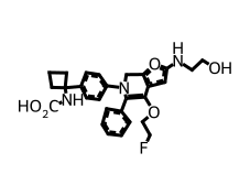 O=C(O)NC1(c2ccc(N3Cc4oc(NCCO)cc4C(OCCF)=C3c3ccccc3)cc2)CCC1